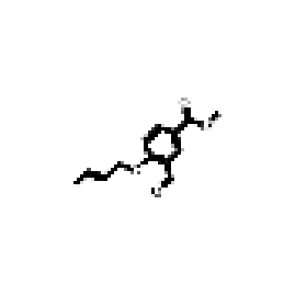 CC=CCOc1ccc(C(=O)OC)cc1C=O